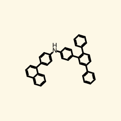 c1ccc(-c2ccc(-c3ccccc3)c(-c3ccc(Nc4ccc(-c5cccc6ccccc56)cc4)cc3)c2)cc1